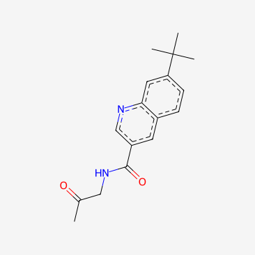 CC(=O)CNC(=O)c1cnc2cc(C(C)(C)C)ccc2c1